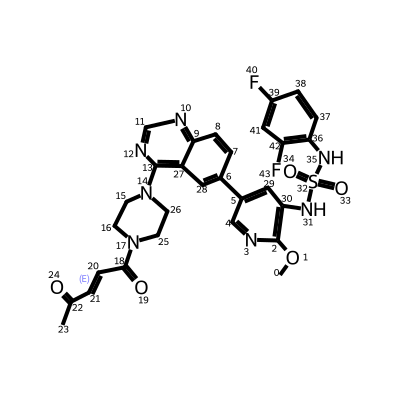 COc1ncc(-c2ccc3ncnc(N4CCN(C(=O)/C=C/C(C)=O)CC4)c3c2)cc1NS(=O)(=O)Nc1ccc(F)cc1F